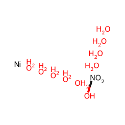 O.O.O.O.O.O.O.O.O.O=[N+]([O-])O.[Ni]